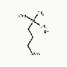 CCCCCCCCCCCC[N+](C)(C)CCCCCCCC.[Br-]